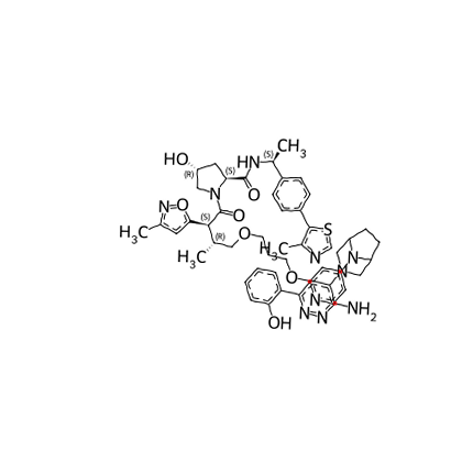 Cc1cc([C@@H](C(=O)N2C[C@H](O)C[C@H]2C(=O)N[C@@H](C)c2ccc(-c3scnc3C)cc2)[C@@H](C)COCCCOc2cc(N3C4CCC3CN(c3cc(-c5ccccc5O)nnc3N)C4)ccn2)on1